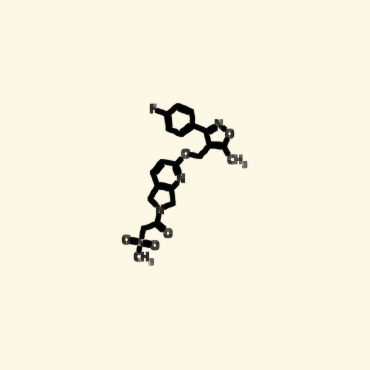 Cc1onc(-c2ccc(F)cc2)c1COc1ccc2c(n1)CN(C(=O)CS(C)(=O)=O)C2